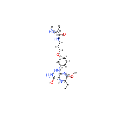 CCc1nc(C(N)=O)c(Nc2cccc(OCCCNC(=O)[C@H](C)NC)c2)nc1OC